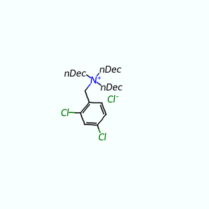 CCCCCCCCCC[N+](CCCCCCCCCC)(CCCCCCCCCC)Cc1ccc(Cl)cc1Cl.[Cl-]